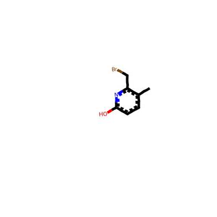 Cc1ccc(O)nc1CBr